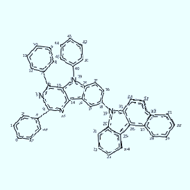 c1ccc(-c2nc(-c3ccccc3)c3c(n2)c2cc(-n4c5ccccc5c5c6ccccc6ccc54)ccc2n3-c2ccccc2)cc1